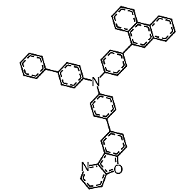 c1ccc(-c2ccc(N(c3ccc(-c4ccc5oc6cccnc6c5c4)cc3)c3ccc(-c4cc5ccccc5c5ccccc45)cc3)cc2)cc1